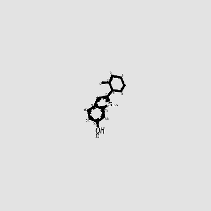 CC1CCCCC1c1cc2ccc(O)cc2s1